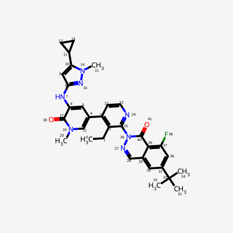 CCc1c(-c2cc(Nc3cc(C4CC4)n(C)n3)c(=O)n(C)c2)ccnc1-n1ncc2cc(C(C)(C)C)cc(F)c2c1=O